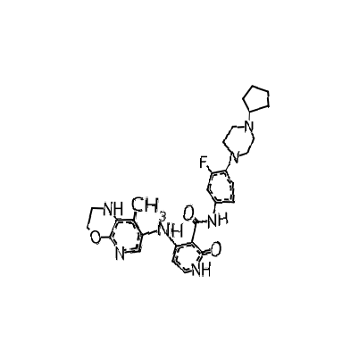 Cc1c(Nc2cc[nH]c(=O)c2C(=O)Nc2ccc(N3CCN(C4CCCC4)CC3)c(F)c2)cnc2c1NCCO2